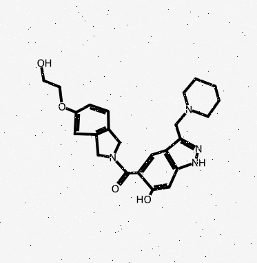 O=C(c1cc2c(CN3CCCCC3)n[nH]c2cc1O)N1Cc2ccc(OCCO)cc2C1